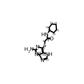 Nc1nc(SCC(=O)NC2CCCCC2)c2[nH]cnc2n1